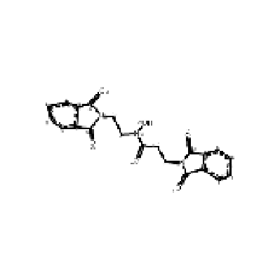 O=C(CCN1C(=O)c2ccccc2C1=O)N(O)CCN1C(=O)c2ccccc2C1=O